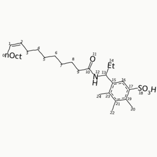 CCCCCCCC/C=C\CCCCCCCC(=O)NC(CC)c1cc(S(=O)(=O)O)c(C)c(C)c1C